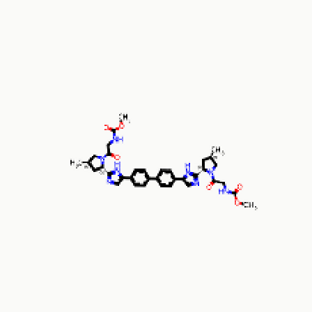 COC(=O)NCC(=O)N1C[C@H](C)C[C@H]1c1ncc(-c2ccc(-c3ccc(-c4cnc([C@@H]5C[C@@H](C)CN5C(=O)CNC(=O)OC)[nH]4)cc3)cc2)[nH]1